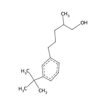 CC(CO)CCCc1cccc(C(C)(C)C)c1